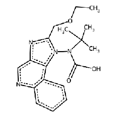 CCOCc1nc2cnc3ccccc3c2n1N(C(=O)O)C(C)(C)C